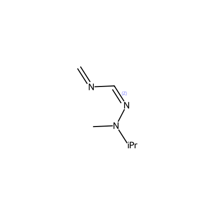 C=N/C=N\N(C)C(C)C